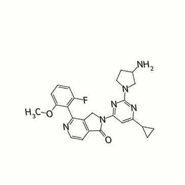 COc1cccc(F)c1-c1nccc2c1CN(c1cc(C3CC3)nc(N3CCC(N)C3)n1)C2=O